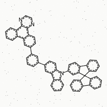 c1cc(-c2ccc3c(c2)c2ccccc2c2nccnc32)cc(-c2ccc3c(c2)c2ccccc2n3-c2ccc3c(c2)C2(c4ccccc4-c4ccccc42)c2ccccc2-3)c1